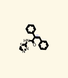 O=C(Nc1nncs1)/C(=C\c1ccccc1)c1ccccc1